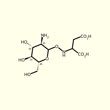 N[C@H]1C(ONC(CC(=O)O)C(=O)O)O[C@H](CO)[C@@H](O)[C@@H]1O